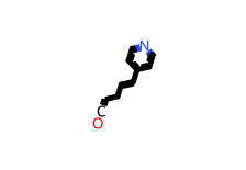 O=C=CCC=Cc1ccncc1